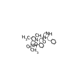 CC(=O)NCc1c(C)cc(C)nc1Oc1ccccc1CCC(=O)N1CCNCC1Cc1ccccc1